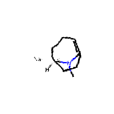 CN1C2=CCC[C@@H]1CC2.[Na]